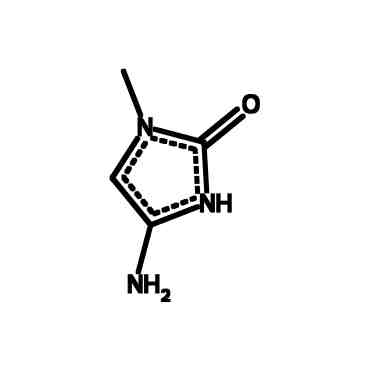 Cn1cc(N)[nH]c1=O